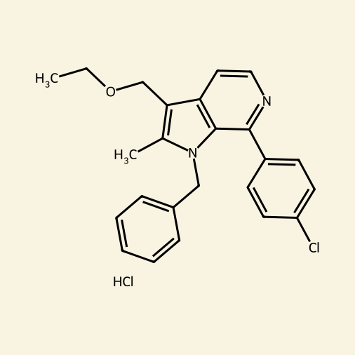 CCOCc1c(C)n(Cc2ccccc2)c2c(-c3ccc(Cl)cc3)nccc12.Cl